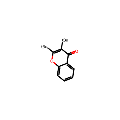 CC(C)(C)c1oc2ccccc2c(=O)c1C(C)(C)C